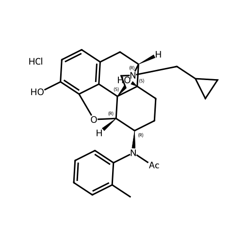 CC(=O)N(c1ccccc1C)[C@@H]1CC[C@@]2(O)[C@H]3Cc4ccc(O)c5c4[C@@]2(CCN3CC2CC2)[C@H]1O5.Cl